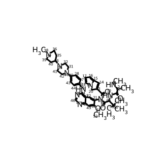 CN[C@@H](C)C(=O)N[C@H](C(=O)N(C(=O)C1=Cc2cccn2C1)c1cc2c(Nc3ccc(N4CCN(C5CCN(C)CC5)CC4)cc3)ncnc2cc1OC)C(C)(C)C